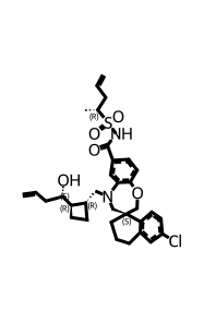 C=CC[C@@H](C)S(=O)(=O)NC(=O)c1ccc2c(c1)N(C[C@@H]1CC[C@H]1[C@@H](O)CC=C)C[C@@]1(CCCc3cc(Cl)ccc31)CO2